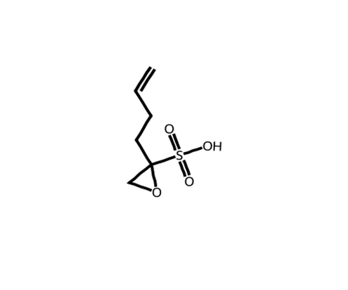 C=CCCC1(S(=O)(=O)O)CO1